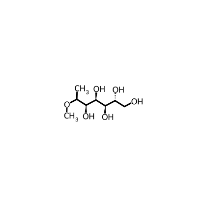 COC(C)[C@H](O)[C@@H](O)[C@H](O)[C@H](O)CO